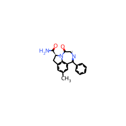 Cc1cc2c3c(c1)C(c1ccccc1)=N[C]C(=O)N3[C@H](C(N)=O)C2